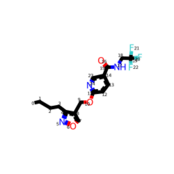 CCCCc1nocc1COc1ccc(C(=O)NCC(F)(F)F)cn1